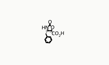 O=C1N[C@@H](Cc2ccccc2)[C@@H](C(=O)O)O1